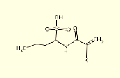 C=[C]([K])C(=O)NC(CCC)S(=O)(=O)O